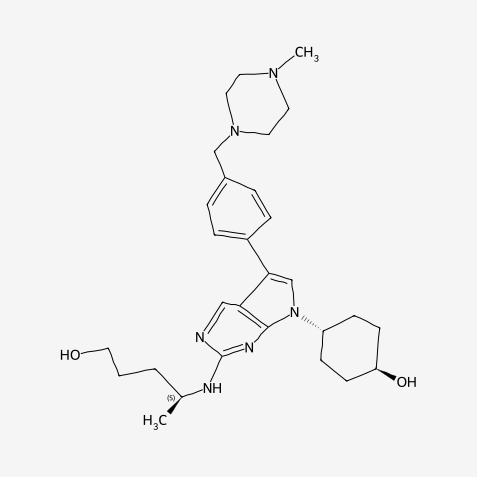 C[C@@H](CCCO)Nc1ncc2c(-c3ccc(CN4CCN(C)CC4)cc3)cn([C@H]3CC[C@H](O)CC3)c2n1